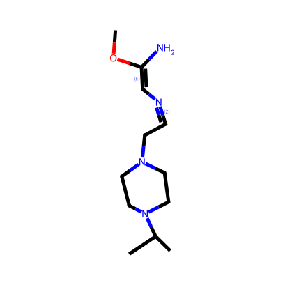 CO/C(N)=C/N=C\CN1CCN(C(C)C)CC1